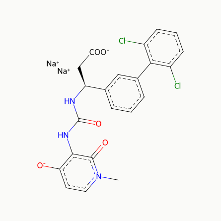 Cn1ccc([O-])c(NC(=O)N[C@@H](CC(=O)[O-])c2cccc(-c3c(Cl)cccc3Cl)c2)c1=O.[Na+].[Na+]